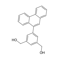 OCc1cc(CO)cc(-c2cc3ccccc3c3ccccc23)c1